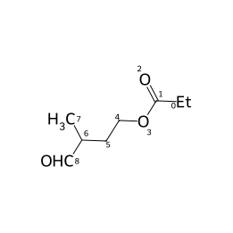 CCC(=O)OCCC(C)C=O